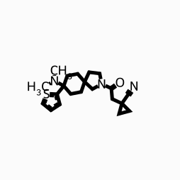 CN(C)C1(c2cccs2)CCC2(CCN(C(=O)CC3(C#N)CC3)C2)CC1